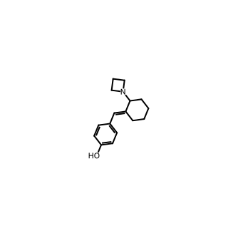 Oc1ccc(C=C2CCCCC2N2CCC2)cc1